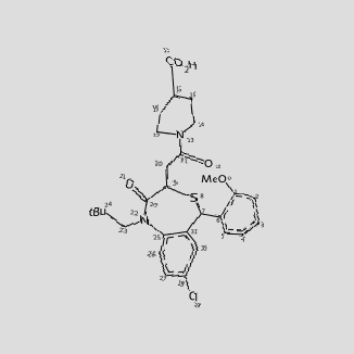 COc1ccccc1C1SC(CC(=O)N2CCC(C(=O)O)CC2)C(=O)N(CC(C)(C)C)c2ccc(Cl)cc21